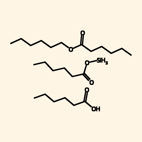 CCCCCC(=O)O.CCCCCC(=O)O[SiH3].CCCCCCOC(=O)CCCCC